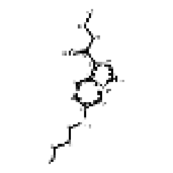 CCCCOc1ccc2c(C(=O)CCC)cnn2c1